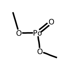 C[O][Po](=[O])[O]C